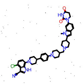 Cn1c(C2CCN(CC3CCN(c4ccc(C5CCN(c6ccc(Cl)c7c(C#N)c[nH]c67)CC5)cc4)CC3)CC2)cc2ccc(N3CCC(=O)NC3=O)cc21